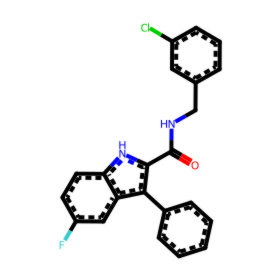 O=C(NCc1cccc(Cl)c1)c1[nH]c2ccc(F)cc2c1-c1ccccc1